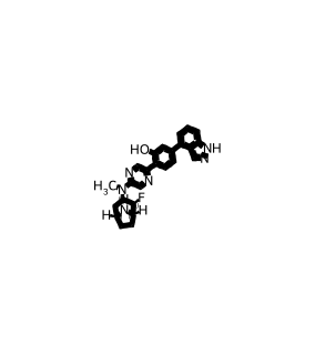 CN(c1cnc(-c2ccc(-c3cccc4[nH]ncc34)cc2O)cn1)[C@@H]1C[C@H]2CC[C@H](N2)[C@@H]1F